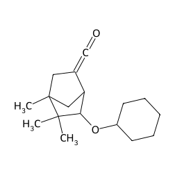 CC12CC(=C=O)C(C1)C(OC1CCCCC1)C2(C)C